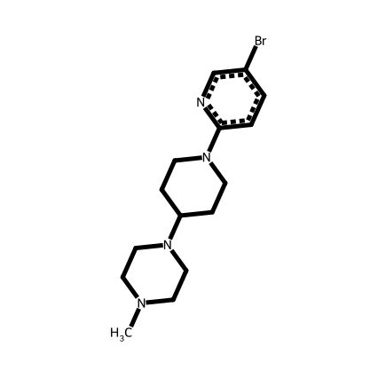 CN1CCN(C2CCN(c3ccc(Br)cn3)CC2)CC1